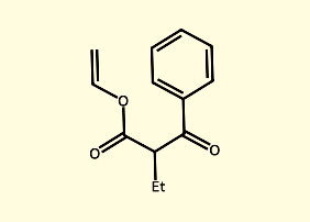 C=COC(=O)C(CC)C(=O)c1ccccc1